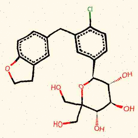 OCC1(CO)O[C@@H](c2ccc(Cl)c(Cc3ccc4c(c3)CCO4)c2)[C@H](O)[C@@H](O)[C@@H]1O